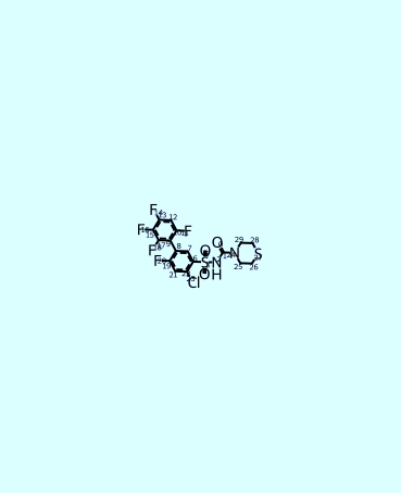 O=C(NS(=O)(=O)c1cc(-c2c(F)cc(F)c(F)c2F)c(F)cc1Cl)N1CCSCC1